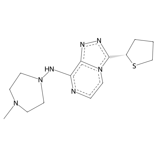 CN1CCN(Nc2nccn3c([C@@H]4CCCS4)nnc23)CC1